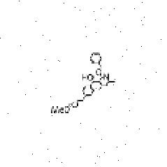 COCOCCc1ccc(C(O)c2c(C)cc(C)nc2OCc2ccccc2)cc1